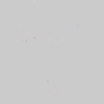 N=C(N)NCCC[C@H](NC(=O)[C@H](Cc1c[nH]cn1)NC(=O)[C@@H](N)CCCCN)C(=O)N[C@@H](Cc1ccccc1)C(=O)N[C@@H](CC(N)=O)C(=O)N[C@@H](CCCCN)C(=O)N[C@@H](CC(=O)O)C(=O)NCCOCCCNC(=O)CCCC[C@@H]1SC[C@@H]2NC(=O)N[C@@H]21